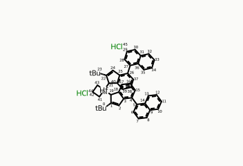 CC(C)(C)C1=Cc2c(-c3cccc4ccccc34)cccc2[CH]1[Hf]1([CH]2C(C(C)(C)C)=Cc3c(-c4cccc5ccccc45)cccc32)[CH2]C[CH2]1.Cl.Cl